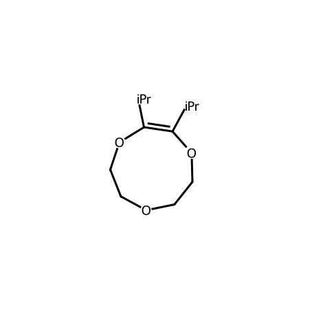 CC(C)/C1=C(\C(C)C)OCCOCCO1